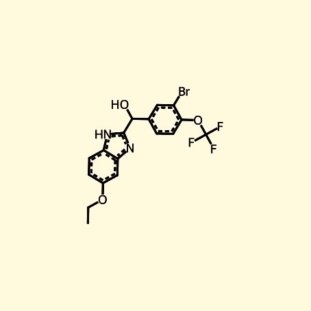 CCOc1ccc2[nH]c(C(O)c3ccc(OC(F)(F)F)c(Br)c3)nc2c1